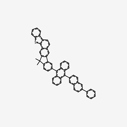 CC1(C)c2ccc(-c3c4ccccc4c(-c4ccc5cc(-c6ccccc6)ccc5c4)c4ccccc34)cc2-c2cc3ccc4c5ccccc5sc4c3cc21